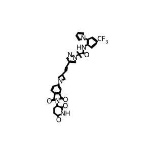 CC(C)(C(=O)Nc1ccc(C(F)(F)F)cc1-n1cccc1)n1cc(C#CC2CN(c3ccc4c(c3)C(=O)N(C3CCC(=O)NC3=O)C4=O)C2)cn1